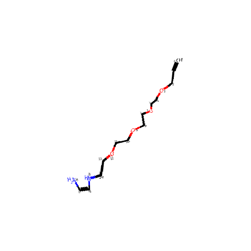 C#CCOCCOCCOCCOCCN/C=C\N